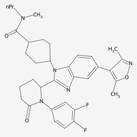 CCCN(C)C(=O)C1CCC(n2c(C3CCCC(=O)N3c3ccc(F)c(F)c3)nc3cc(-c4c(C)noc4C)ccc32)CC1